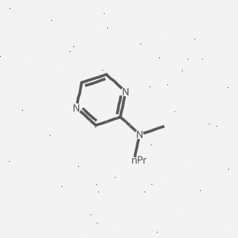 CCCN(C)c1[c]nccn1